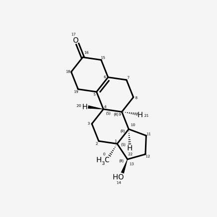 C[C@]12CC[C@@H]3C4=C(CC[C@H]3[C@H]1CC[C@H]2O)CC(=O)CC4